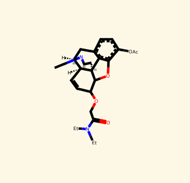 CCN(CC)C(=O)COC1C=C[C@H]2[C@H]3Cc4ccc(OC(C)=O)c5c4[C@@]2(CCN3C)C1O5